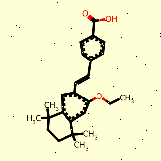 CCOc1cc2c(cc1C=Cc1ccc(C(=O)O)cc1)C(C)(C)CCC2(C)C